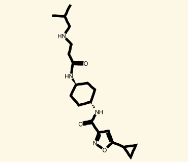 CC(C)CNCCC(=O)N[C@H]1CC[C@H](NC(=O)c2cc(C3CC3)on2)CC1